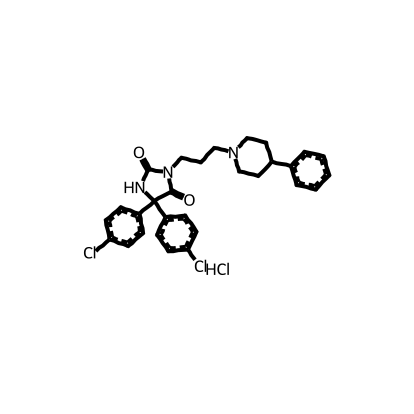 Cl.O=C1NC(c2ccc(Cl)cc2)(c2ccc(Cl)cc2)C(=O)N1CCCN1CCC(c2ccccc2)CC1